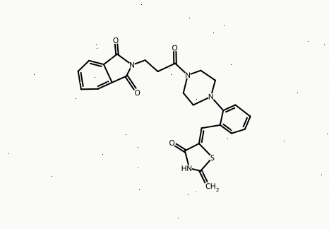 C=c1[nH]c(=O)/c(=C/c2ccccc2N2CCN(C(=O)CCN3C(=O)c4ccccc4C3=O)CC2)s1